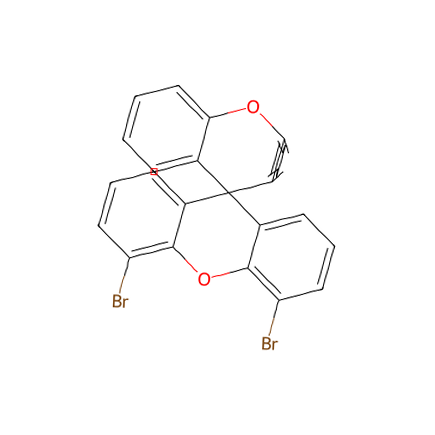 Brc1cccc2c1Oc1c(Br)cccc1C21c2ccccc2Oc2ccccc21